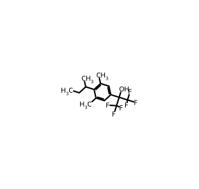 CCC(C)c1c(C)cc(C(O)(C(F)(F)F)C(F)(F)F)cc1C